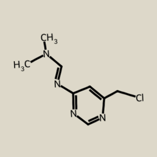 CN(C)C=Nc1cc(CCl)ncn1